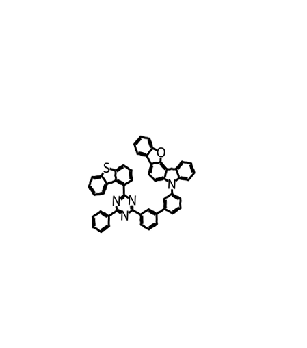 c1ccc(-c2nc(-c3cccc(-c4cccc(-n5c6ccccc6c6c7oc8ccccc8c7ccc65)c4)c3)nc(-c3cccc4sc5ccccc5c34)n2)cc1